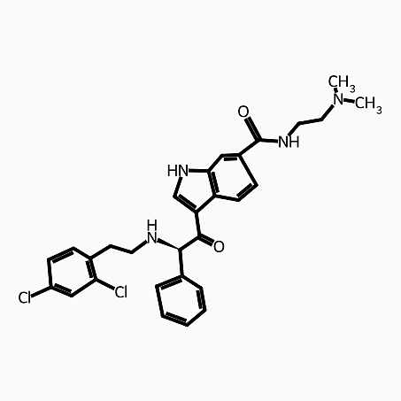 CN(C)CCNC(=O)c1ccc2c(C(=O)[C@H](NCCc3ccc(Cl)cc3Cl)c3ccccc3)c[nH]c2c1